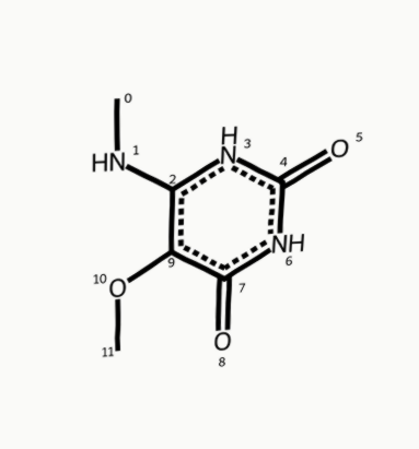 CNc1[nH]c(=O)[nH]c(=O)c1OC